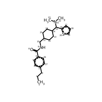 CCCc1ccc(C(=O)NCC2CCC(C(c3cccs3)N(C)C)CC2)cc1